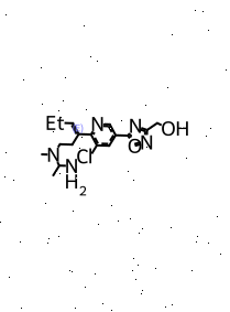 CC/C=C(\CCN(C)C(C)N)c1ncc(-c2nc(CO)no2)cc1Cl